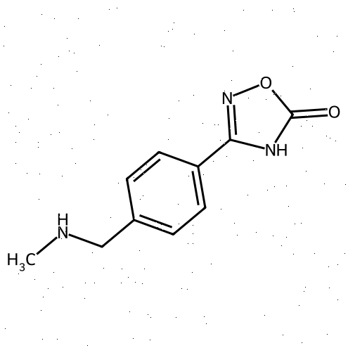 CNCc1ccc(-c2noc(=O)[nH]2)cc1